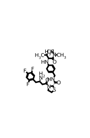 CC(C)[C@@H](NC1C=CC(CNC(=O)[C@@H]2SCCN2C(=O)C[C@H](N)Cc2cc(F)c(F)cc2F)=CC1)C(=O)N(C)C